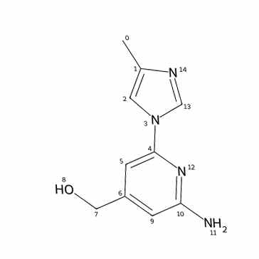 Cc1cn(-c2cc(CO)cc(N)n2)cn1